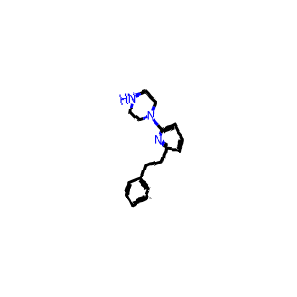 [c]1cccc(CCc2cccc(N3CCNCC3)n2)c1